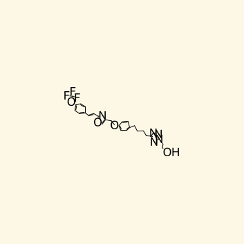 OCCn1nnc(CCCCc2ccc(OCc3coc(/C=C/c4ccc(OC(F)(F)F)cc4)n3)cc2)n1